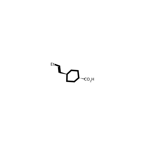 CC/C=C/[C@H]1CC[C@H](C(=O)O)CC1